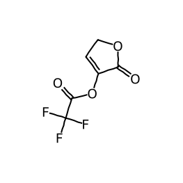 O=C1OCC=C1OC(=O)C(F)(F)F